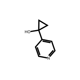 OC1(c2ccncc2)CC1